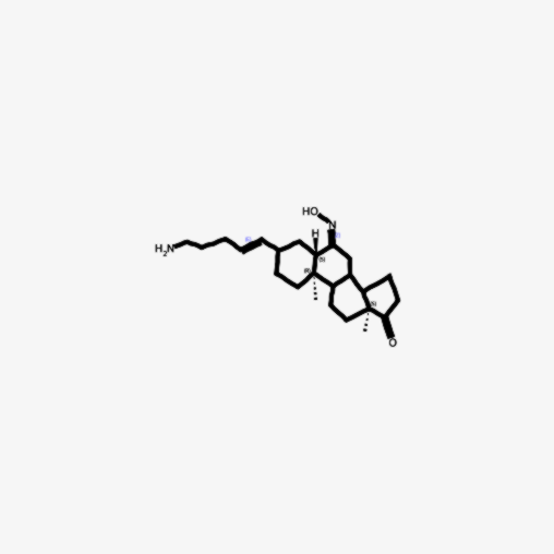 C[C@]12CCC3C(C/C(=N/O)[C@H]4CC(/C=C/CCCN)CC[C@]34C)C1CCC2=O